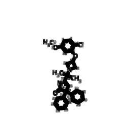 COc1ccc(Cl)c(OC2CN(C(C)(C)CCC(C(N)=O)(c3ccccc3)c3ccccc3)C2)c1